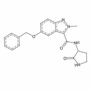 Cn1nc2ccc(OCc3ccccc3)cc2c1C(=O)NC1CCNC1=O